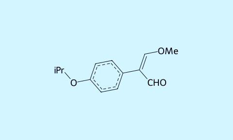 COC=C(C=O)c1ccc(OC(C)C)cc1